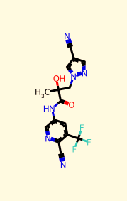 CC(O)(Cn1cc(C#N)cn1)C(=O)Nc1cnc(C#N)c(C(F)(F)F)c1